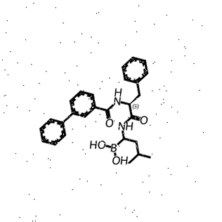 CC(C)CC(NC(=O)[C@H](Cc1ccccc1)NC(=O)c1cccc(-c2ccccc2)c1)B(O)O